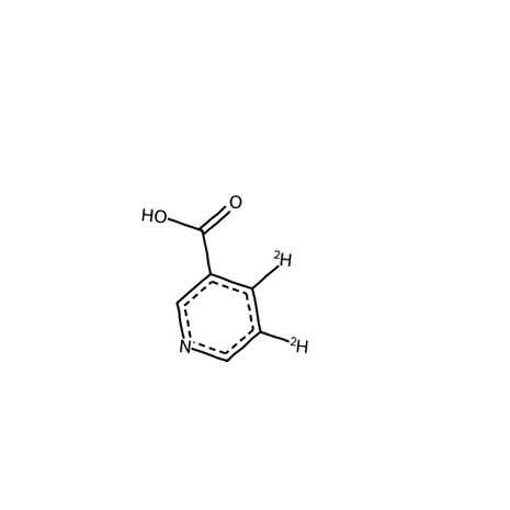 [2H]c1cncc(C(=O)O)c1[2H]